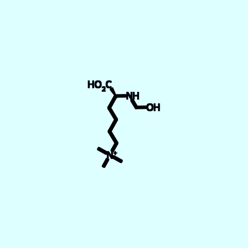 C[N+](C)(C)CCCC[C@H](NCO)C(=O)O